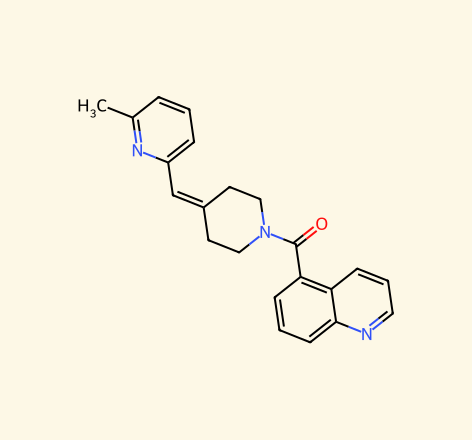 Cc1cccc(C=C2CCN(C(=O)c3cccc4ncccc34)CC2)n1